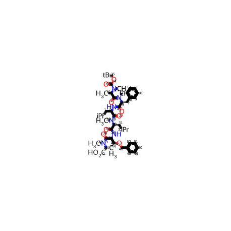 CC(C)CC(NC(=O)[C@H](Cc1ccccc1)N(C)C(=O)C(C)N(C)C(=O)OC(C)(C)C)C(=O)N(C)[C@@H](CC(C)C)C(=O)N[C@H](C(=O)N(C)CC(=O)O)[C@@H](C)OCc1ccccc1